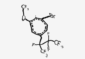 FC(F)(F)Oc1[c]c(Br)cc(C(F)(C(F)(F)F)C(F)(F)C(F)(F)F)c1